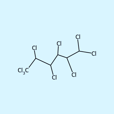 ClC(Cl)C(Cl)C(Cl)C(Cl)C(Cl)C(Cl)(Cl)Cl